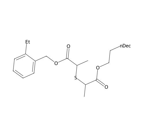 CCCCCCCCCCCCOC(=O)C(C)SC(C)C(=O)OCc1ccccc1CC